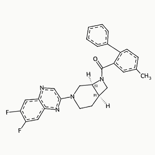 Cc1ccc(-c2ccccc2)c(C(=O)N2C[C@H]3CCN(c4cnc5cc(F)c(F)cc5n4)C[C@H]32)c1